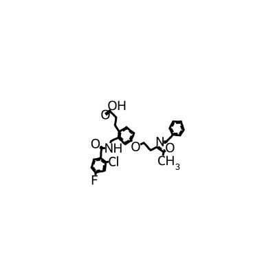 Cc1oc(-c2ccccc2)nc1CCOc1ccc(CCC(=O)O)c(CNC(=O)c2ccc(F)cc2Cl)c1